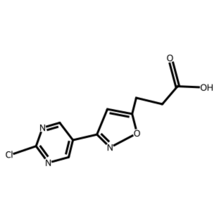 O=C(O)CCc1cc(-c2cnc(Cl)nc2)no1